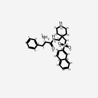 N[C@@H](Cc1ccccc1)C(=O)NCC1(CS(=O)(=O)c2ccc3ccccc3c2)CCNCC1